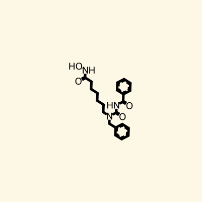 O=C(CCCCCCN(Cc1ccccc1)C(=O)NC(=O)c1ccccc1)NO